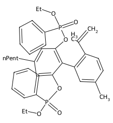 C=C(C)c1ccc(C)cc1-c1c(OP(=O)(OCC)c2ccccc2)cc(CCCCC)cc1OP(=O)(OCC)c1ccccc1